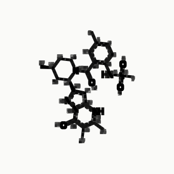 Cc1ccc(NS(C)(=O)=O)c(C(=O)N2CC[C@H](C)C[C@@H]2c2cc3[nH]c(C)c(C)c(=O)n3n2)c1